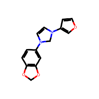 C1=CN(c2ccc3c(c2)OCO3)CN1c1ccoc1